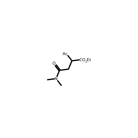 CCOC(=O)C(CC(=O)N(C)C)C(C)=O